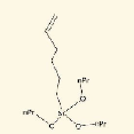 C=CCCCC[Si](OCCC)(OCCC)OCCC